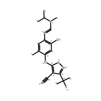 Cc1cc(N=CN(C)C(C)C)c(Cl)cc1Oc1snc(C(C)(C)F)c1C#N